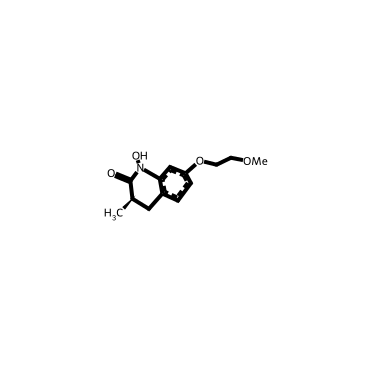 COCCOc1ccc2c(c1)N(O)C(=O)[C@H](C)C2